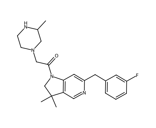 CC1CN(CC(=O)N2CC(C)(C)c3cnc(Cc4cccc(F)c4)cc32)CCN1